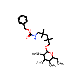 CC(=O)NC1C(OCC(C)(C)CC(C)(C)CNC(=O)OCc2ccccc2)OC(COC(C)=O)C(OC(C)=O)C1OC(C)=O